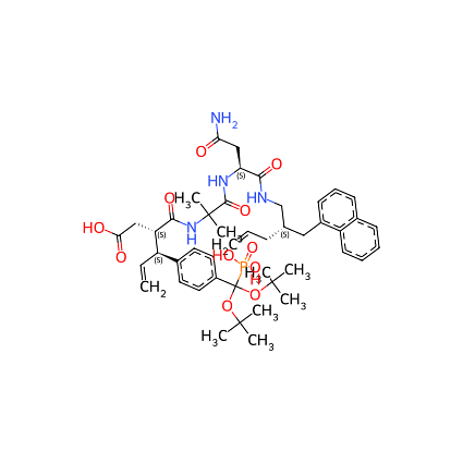 C=CC[C@H](CNC(=O)[C@H](CC(N)=O)NC(=O)C(C)(C)NC(=O)[C@@H](CC(=O)O)[C@H](C=C)c1ccc(C(OC(C)(C)C)(OC(C)(C)C)P(=O)(O)O)cc1)Cc1cccc2ccccc12